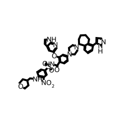 O=C(NS(=O)(=O)c1ccc(NCC2CCOCC2)c([N+](=O)[O-])c1)c1ccc(N2CCN(C3CCCCc4c(-c5ccn[nH]5)cccc43)CC2)cc1Oc1cnc2[nH]ccc2c1